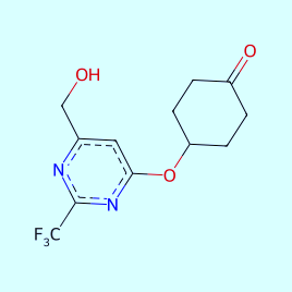 O=C1CCC(Oc2cc(CO)nc(C(F)(F)F)n2)CC1